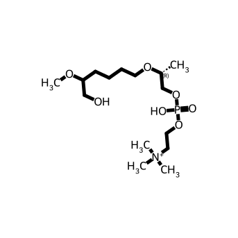 COC(CO)CCCCO[C@H](C)COP(=O)(O)OCC[N+](C)(C)C